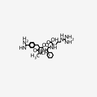 CN(C)C(=O)C(Cc1ccc(C(=N)N)cc1)C(=O)N[C@H](C(=O)N[C@@H](CCCNC(=N)N)C(=O)O)C1CCCCC1